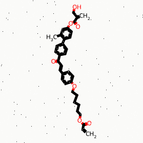 C=CC(=O)OCCCCCCOc1ccc(/C=C/C(=O)c2ccc(-c3ccc(OC(=O)C(=C)CO)cc3C)cc2)cc1